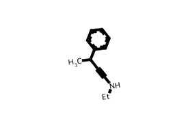 CCNC#CC(C)c1ccccc1